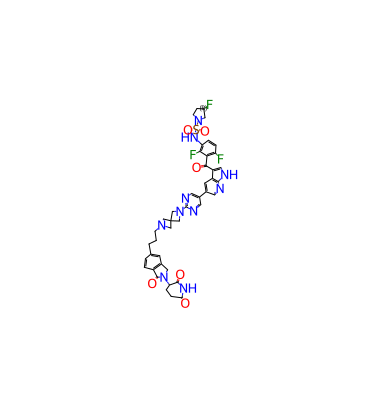 O=C1CCC(N2Cc3cc(CCCN4CC5(C4)CN(c4ncc(-c6cnc7[nH]cc(C(=O)c8c(F)ccc(NS(=O)(=O)N9CC[C@@H](F)C9)c8F)c7c6)cn4)C5)ccc3C2=O)C(=O)N1